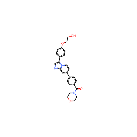 O=C(c1ccc(-c2ccn3c(-c4ccc(OCCO)cc4)cnc3c2)cc1)N1CCOCC1